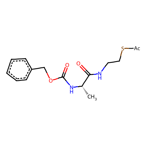 CC(=O)SCCNC(=O)[C@H](C)NC(=O)OCc1ccccc1